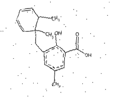 Cc1cc(CC2(C)C=CC=CC2C)c(O)c(C(=O)O)c1